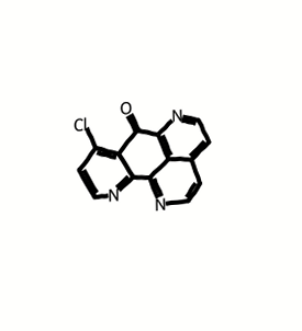 O=C1c2c(Cl)ccnc2-c2nccc3ccnc1c23